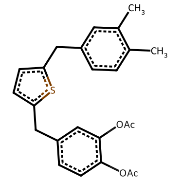 CC(=O)Oc1ccc(Cc2ccc(Cc3ccc(C)c(C)c3)s2)cc1OC(C)=O